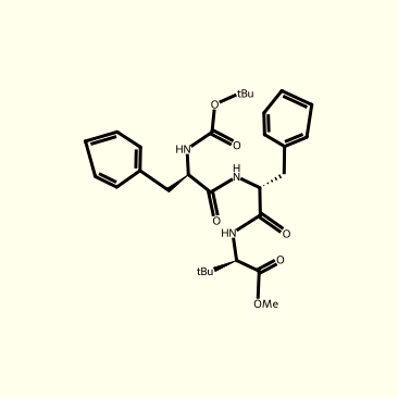 COC(=O)[C@H](NC(=O)[C@@H](Cc1ccccc1)NC(=O)[C@@H](Cc1ccccc1)NC(=O)OC(C)(C)C)C(C)(C)C